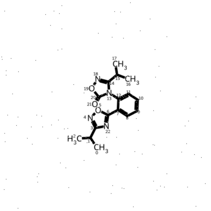 CC(C)c1noc(-c2ccccc2-n2c(C(C)C)noc2=O)n1